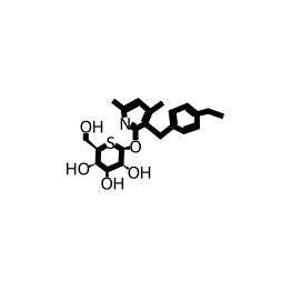 CCc1ccc(Cc2c(C)cc(C)nc2O[C@@H]2S[C@H](CO)[C@@H](O)[C@H](O)[C@H]2O)cc1